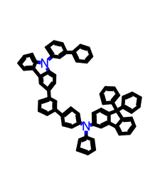 c1ccc(-c2cccc(-n3c4ccccc4c4cc(-c5cccc(-c6ccc(N(c7ccccc7)c7ccc8c(c7)-c7ccccc7C8(c7ccccc7)c7ccccc7)cc6)c5)ccc43)c2)cc1